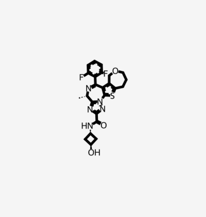 C[C@@H]1N=C(c2c(F)cccc2F)c2c(sc3c2COCCC3)-n2nc(C(=O)N[C@H]3C[C@H](O)C3)nc21